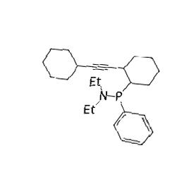 CCN(CC)P(c1ccccc1)C1CCCCC1C#CC1CCCCC1